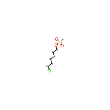 CS(=O)(=O)OCCCCCCCl